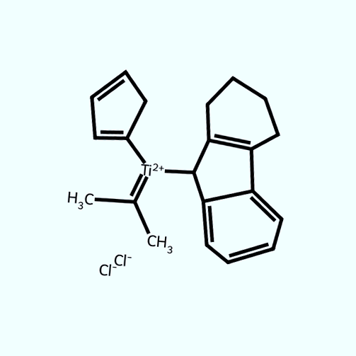 C[C](C)=[Ti+2]([C]1=CC=CC1)[CH]1C2=C(CCCC2)c2ccccc21.[Cl-].[Cl-]